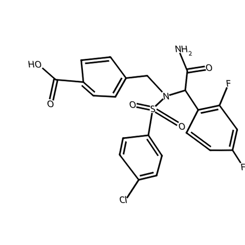 NC(=O)C(c1ccc(F)cc1F)N(Cc1ccc(C(=O)O)cc1)S(=O)(=O)c1ccc(Cl)cc1